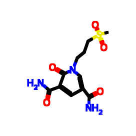 CS(=O)(=O)CCCn1cc(C(N)=O)cc(C(N)=O)c1=O